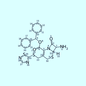 NC1C(=O)N2C(C(=O)OC(c3ccccc3)c3ccccc3)=C(CSc3ncns3)CS[C@H]12